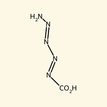 NN=NN=NC(=O)O